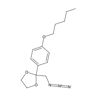 CCCCCOc1ccc(C2(CN=[N+]=[N-])OCCO2)cc1